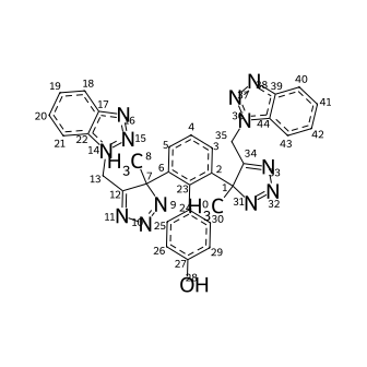 CC1(c2cccc(C3(C)N=NN=C3Cn3nnc4ccccc43)c2-c2ccc(O)cc2)N=NN=C1Cn1nnc2ccccc21